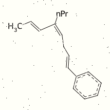 CC=CC(=CCC=Cc1ccccc1)CCC